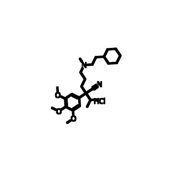 COc1cc(C(C#N)(CCCN(C)CCC2CCCCC2)C(C)C)cc(OC)c1OC.Cl